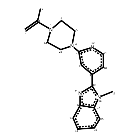 C=C(C)N1CCN(c2cc(-c3nc4ccccc4n3C)ccn2)CC1